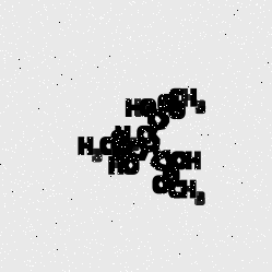 CC(=O)OC1CCC(C(C)CC(C2CCC(OC(C)=O)C(O)C2)C2CCC(OC(C)=O)C(O)C2)CC1O